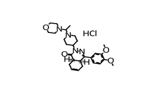 COc1ccc(C2=NN(C3CCN(C(C)N4CCOCC4)CC3)C(=O)[C@@H]3CC=CC[C@H]23)cc1OC.Cl